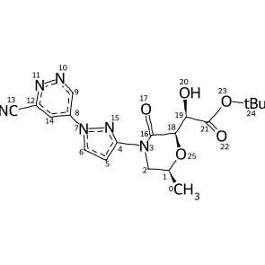 C[C@H]1CN(c2ccn(-c3cnnc(C#N)c3)n2)C(=O)[C@@H]([C@@H](O)C(=O)OC(C)(C)C)O1